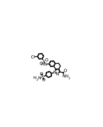 NC(=O)c1nn(-c2ccc(S(N)(=O)=O)cc2)c2c1CCc1ccc(NS(=O)(=O)c3cccc(Cl)c3)cc1-2